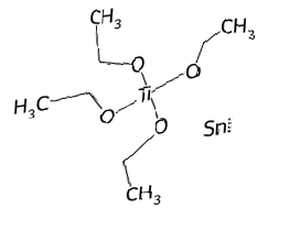 CC[O][Ti]([O]CC)([O]CC)[O]CC.[Sn]